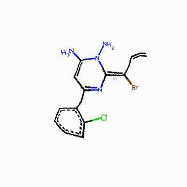 C=C/C(Br)=C1/N=C(c2ccccc2Cl)C=C(N)N1N